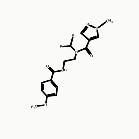 COc1ccc(C(=O)NCCN(C(=O)c2cnn(C)c2)C(F)F)cc1